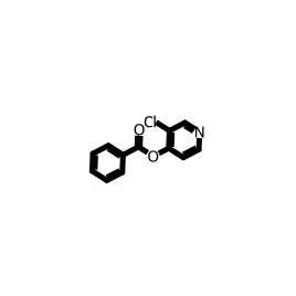 O=C(Oc1ccncc1Cl)c1ccccc1